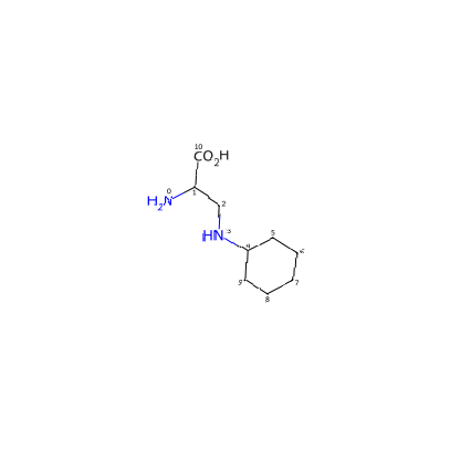 NC(CNC1CCCCC1)C(=O)O